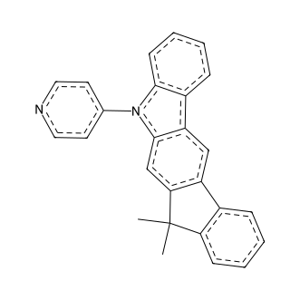 CC1(C)c2ccccc2-c2cc3c4ccccc4n(-c4ccncc4)c3cc21